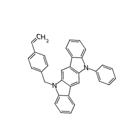 C=Cc1ccc(Cn2c3ccccc3c3cc4c(cc32)c2ccccc2n4-c2ccccc2)cc1